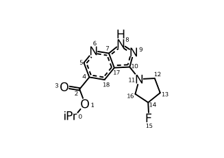 CC(C)OC(=O)c1cnc2[nH]nc(N3CCC(F)C3)c2c1